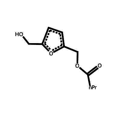 CCCC(=O)OCc1ccc(CO)o1